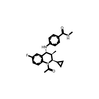 CNC(=O)c1ccc(N[C@H]2c3cc(F)ccc3N(C(C)=O)[C@H](C3CC3)[C@@H]2C)cc1